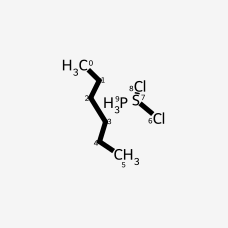 CCCCCC.ClSCl.P